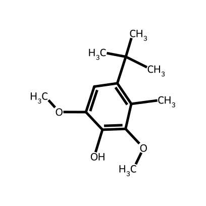 COc1cc(C(C)(C)C)c(C)c(OC)c1O